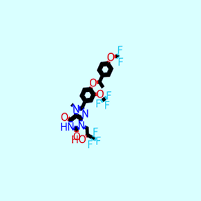 CC(Oc1ccc(-c2nc3c(c(=O)[nH]c(=O)n3CC(O)C(F)(F)F)n2C)cc1OC(F)(F)F)c1ccc(OC(F)F)cc1